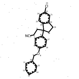 N#CCCC1(c2ccc(OCc3ccccc3)cc2)CCc2cc(Cl)ccc21